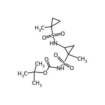 CC(C)(C)OC(=O)NS(=O)(=O)C1(C)CC1NS(=O)(=O)C1(C)CC1